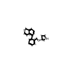 c1ccc(-c2cccc3cnccc23)c(CO[C@H]2CCNC2)c1